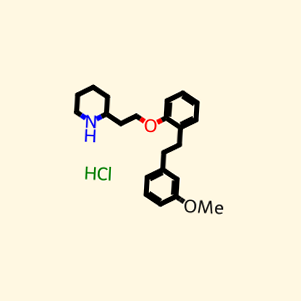 COc1cccc(CCc2ccccc2OCCC2CCCCN2)c1.Cl